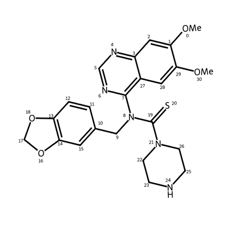 COc1cc2ncnc(N(Cc3ccc4c(c3)OCO4)C(=S)N3CCNCC3)c2cc1OC